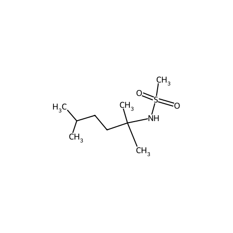 CC(C)CCC(C)(C)NS(C)(=O)=O